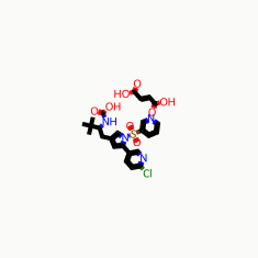 CC(C)(C)C(Cc1cc(-c2ccc(Cl)nc2)n(S(=O)(=O)c2cccnc2)c1)NC(=O)O.O=C(O)C=CC(=O)O